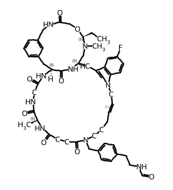 CC[C@@H]1OCC(=O)NCc2cccc(c2)C[C@@H]2NC(=O)CNC(=O)[C@H](C)NC(=O)CCC(=O)N(Cc3ccc(CCNC=O)cc3)CCC/C=C/Cn3cc(c4cc(F)ccc43)C[C@@H](CN1C)NC2=O